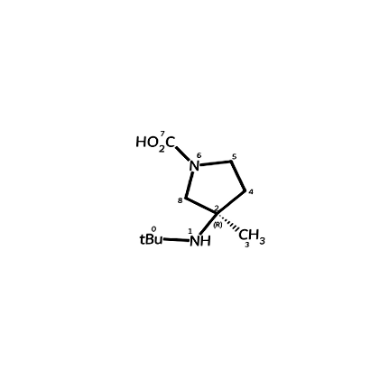 CC(C)(C)N[C@]1(C)CCN(C(=O)O)C1